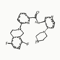 O=C(Nc1cnccc1N1CCNCC1)c1cccc(N2CCc3c(F)ccc(F)c3C2)n1